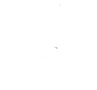 CNC(=O)[C@@H](Cc1ccccc1)N(C)C(=O)[C@H](Cc1ccc2ccccc2c1)N(C)C(=O)/C=C/CC(C)(C)N